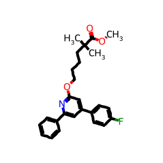 COC(=O)C(C)(C)CCCCOc1cc(-c2ccc(F)cc2)cc(-c2ccccc2)n1